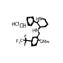 COc1ccc(C(F)(F)C(F)(F)F)cc1CNC1CCCNC1c1ccccc1.Cl.Cl